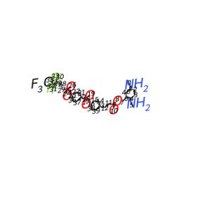 Nc1ccc(N)c(COC(=O)C=Cc2ccc(OC(=O)c3ccc(OC(=O)CCC(F)(F)C(F)(F)C(F)(F)F)cc3)cc2)c1